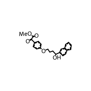 COC(=O)C(=O)c1ccc(OCCCC(O)c2ccc3ccccc3c2)cc1